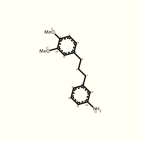 COc1ccc(CCCc2cccc(N)c2)cc1OC